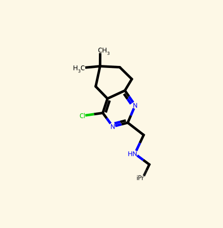 CC(C)CNCc1nc(Cl)c2c(n1)CCC(C)(C)C2